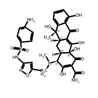 CN(C)[C@@H]1C(O)=C(C(N)=O)C(=O)[C@@]2(O)C(O)=C3C(=O)c4c(O)cccc4[C@@](C)(O)[C@H]3C[C@@H]12.Cc1cc(NS(=O)(=O)c2ccc(N)cc2)no1